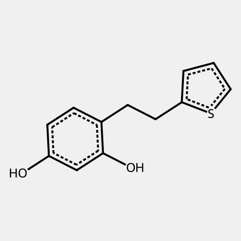 Oc1ccc(CCc2cccs2)c(O)c1